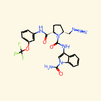 [N-]=[N+]=NC[C@H]1CC[C@@H](C(=O)Nc2cccc(OC(F)(F)F)c2)N1C(=O)Nc1cn(C(N)=O)c2ccccc12